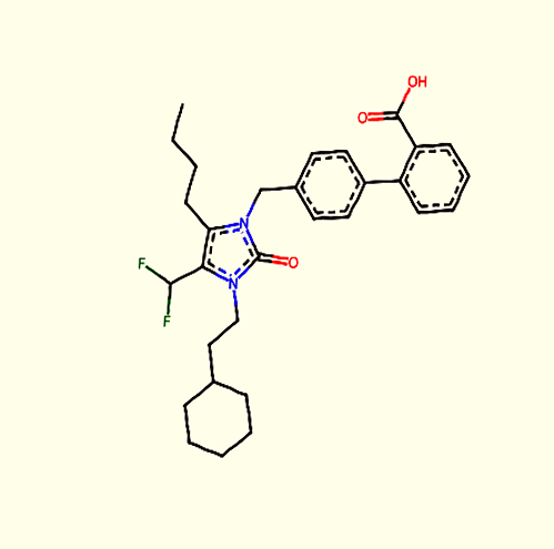 CCCCc1c(C(F)F)n(CCC2CCCCC2)c(=O)n1Cc1ccc(-c2ccccc2C(=O)O)cc1